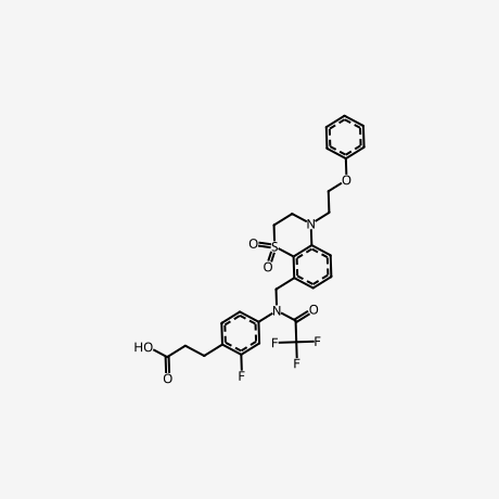 O=C(O)CCc1ccc(N(Cc2cccc3c2S(=O)(=O)CCN3CCOc2ccccc2)C(=O)C(F)(F)F)cc1F